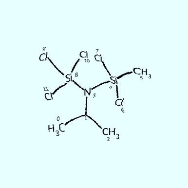 CC(C)N([Si](C)(Cl)Cl)[Si](Cl)(Cl)Cl